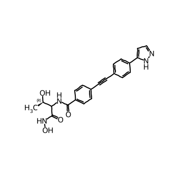 C[C@@H](O)C(NC(=O)c1ccc(C#Cc2ccc(-c3ccn[nH]3)cc2)cc1)C(=O)NO